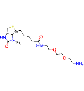 CCN1C(=O)NC2CS[C@@H](CCCCC(=O)NCCOCCOCCN)C21